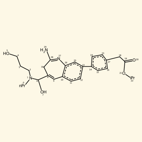 CCCN(CCCO)C(O)C1=Cc2ccc(-c3ccc(CC(=O)OC(C)C)cc3)cc2N=C(N)C1